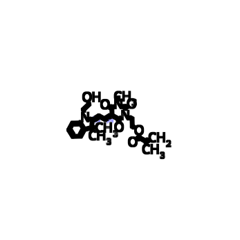 C=C(C)C(=O)OCCN1C(=O)/C(=C/C=C2/N(CCO)c3ccccc3C2(C)C)C(=O)N(C)C1=O